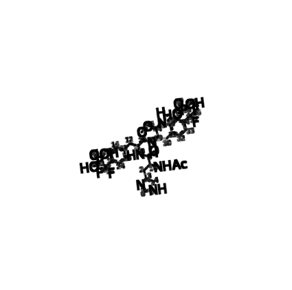 CC(=O)N[C@@H](Cc1c[nH]cn1)C(=O)N[C@@H](Cc1ccc(C(F)(F)P(=O)(O)O)cc1)C(=O)N[C@@H](Cc1ccc(C(F)(F)P(=O)(O)O)cc1)C(N)=O